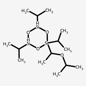 CC(C)OC(C)[Si]1(C(C)C)O[SiH](C(C)C)O[SiH](C(C)C)O1